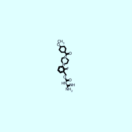 COC1CCC(C(=O)N2CCN(c3cccc(COC(=O)NC(=N)N)c3F)CC2)CC1